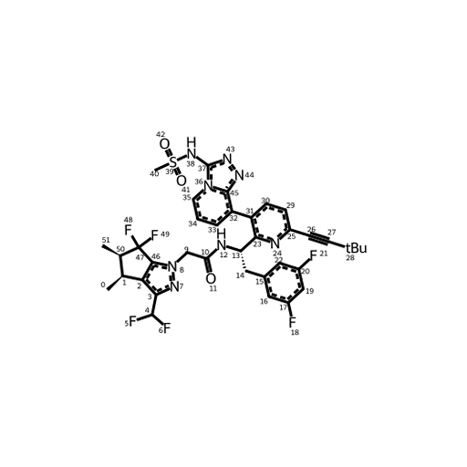 C[C@@H]1c2c(C(F)F)nn(CC(=O)N[C@@H](Cc3cc(F)cc(F)c3)c3nc(C#CC(C)(C)C)ccc3-c3cccn4c(NS(C)(=O)=O)nnc34)c2C(F)(F)[C@@H]1C